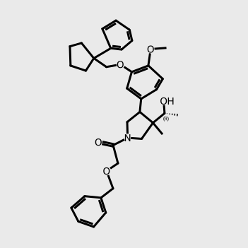 COc1ccc(C2CN(C(=O)COCc3ccccc3)CC2(C)[C@@H](C)O)cc1OCC1(c2ccccc2)CCCC1